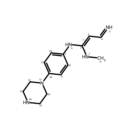 CN/C(=C\C=N)Nc1ccc(N2CCNCC2)cc1